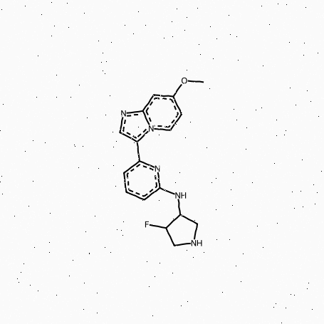 COc1ccn2c(-c3cccc(NC4CNCC4F)n3)cnc2c1